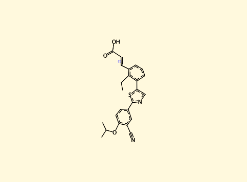 CCc1c(/C=C/C(=O)O)cccc1-c1cnc(-c2ccc(OC(C)C)c(C#N)c2)s1